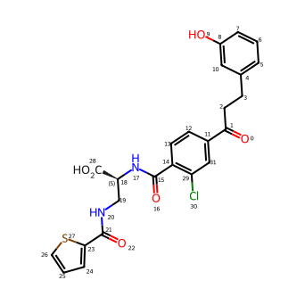 O=C(CCc1cccc(O)c1)c1ccc(C(=O)N[C@@H](CNC(=O)c2cccs2)C(=O)O)c(Cl)c1